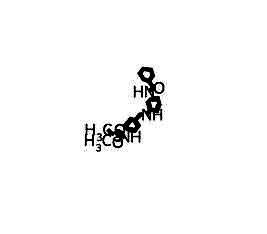 CC(C)S(=O)(=O)Nc1ccc(CNc2cccc(NC(=O)C3CCCCC3)c2)cc1